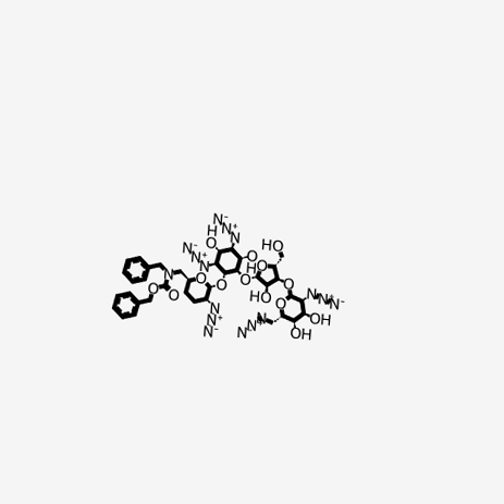 [N-]=[N+]=NC[C@@H]1OC(O[C@H]2[C@@H](O)[C@H](O[C@@H]3[C@@H](O)[C@H](N=[N+]=[N-])[C@@H](O)[C@H](N=[N+]=[N-])[C@H]3O[C@H]3O[C@H](CN(Cc4ccccc4)C(=O)OCc4ccccc4)CC[C@H]3N=[N+]=[N-])O[C@@H]2CO)[C@H](N=[N+]=[N-])[C@@H](O)[C@@H]1O